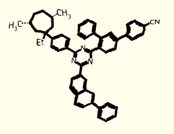 CCC1(c2ccc(-c3nc(-c4ccc5ccc(-c6ccccc6)cc5c4)nc(-c4ccc(-c5ccc(C#N)cc5)cc4-c4ccccc4)n3)cc2)C[C@H](C)CC[C@H](C)C1